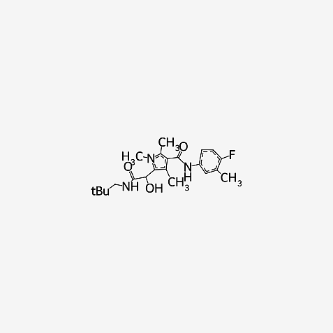 Cc1cc(NC(=O)c2c(C)c(C(O)C(=O)NCC(C)(C)C)n(C)c2C)ccc1F